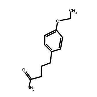 CCOc1ccc(CCCC(N)=O)cc1